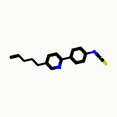 C=CCCCc1ccc(-c2ccc(N=C=S)cc2)nc1